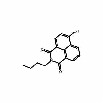 CCCCN1C(=O)c2cccc3c(S)ccc(c23)C1=O